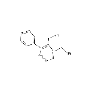 CC(C)Cc1cc[c]c(-c2ccccc2)c1CC(C)C